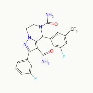 NC(=O)c1c(-c2cccc(F)c2)nn2c1C(c1cc(F)cc(C(F)(F)F)c1)N(C(N)=O)CC2